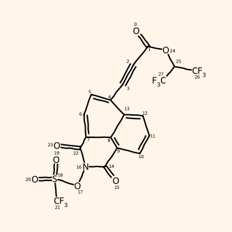 O=C(C#Cc1ccc2c3c(cccc13)C(=O)N(OS(=O)(=O)C(F)(F)F)C2=O)OC(C(F)(F)F)C(F)(F)F